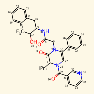 CC(C)C1C(=O)N(CC(=O)NC(Cc2ccccc2)C(O)C(F)(F)F)C(c2ccccc2)=CN1C(=O)c1cccnc1